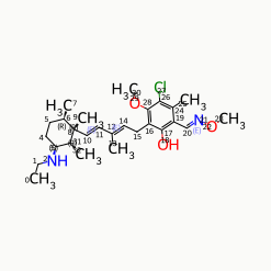 CCN[C@H]1CC[C@@H](C)[C@](C)(/C=C/C(C)=C/Cc2c(O)c(/C=N/OC)c(C)c(Cl)c2OC)[C@H]1C